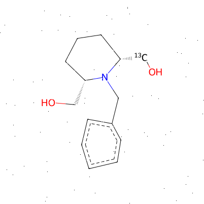 OC[C@@H]1CCC[C@H]([13CH2]O)N1Cc1ccccc1